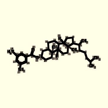 CC(C)CCCC(C)C1CC[C@H]2C3CCC4C[C@@H](OC(=O)c5cc(N)cc(N)c5)CC[C@]4(C)[C@H]3CC[C@]12C